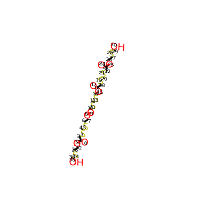 O=C(CSCSCCOOCSCSCOC(=O)CSCSCC(=O)OCCSCO)OCCSCO